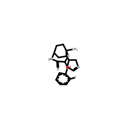 CC12CCC(CC1C1CN=CS1)NC(=O)C(Nc1ccccc1F)O2